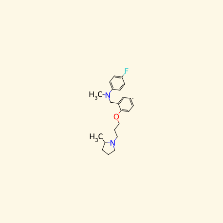 CC1CCCN1CCCOc1cc[c]cc1CN(C)c1ccc(F)cc1